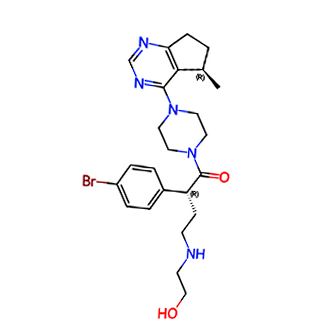 C[C@@H]1CCc2ncnc(N3CCN(C(=O)[C@H](CCNCCO)c4ccc(Br)cc4)CC3)c21